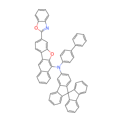 c1ccc(-c2ccc(N(c3ccc4c(c3)-c3ccccc3C43c4ccccc4-c4ccccc43)c3c4ccccc4cc4c3oc3cc(-c5nc6ccccc6o5)ccc34)cc2)cc1